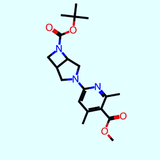 COC(=O)c1c(C)cc(N2CC3CN(C(=O)OC(C)(C)C)C3C2)nc1C